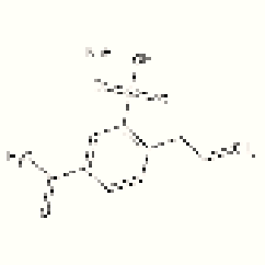 C=CCc1ccc(C(C)=O)cc1S(=O)(=O)O.[NaH]